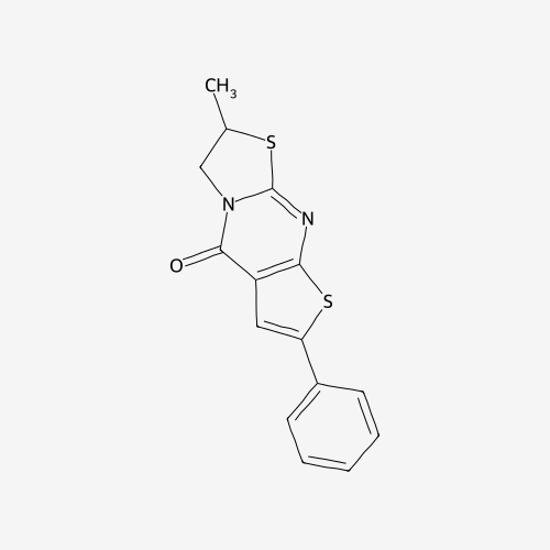 CC1Cn2c(nc3sc(-c4ccccc4)cc3c2=O)S1